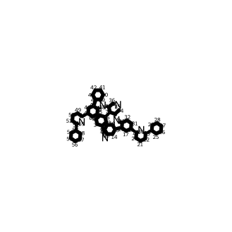 N#Cc1cccc(-c2c(-n3c4ccccc4c4cc(-c5cccc(-c6ccccc6)n5)ccc43)cncc2-n2c3ccccc3c3cc(-c4cccc(-c5ccccc5)n4)ccc32)c1